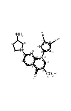 NC1CCN(c2ccc3c(=O)c(C(=O)O)cn(-c4nc(F)c(F)s4)c3n2)C1